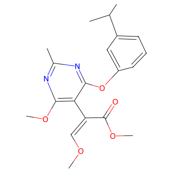 CO/C=C(\C(=O)OC)c1c(OC)nc(C)nc1Oc1cccc(C(C)C)c1